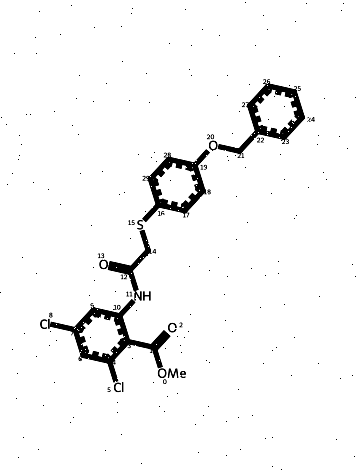 COC(=O)c1c(Cl)cc(Cl)cc1NC(=O)CSc1ccc(OCc2ccccc2)cc1